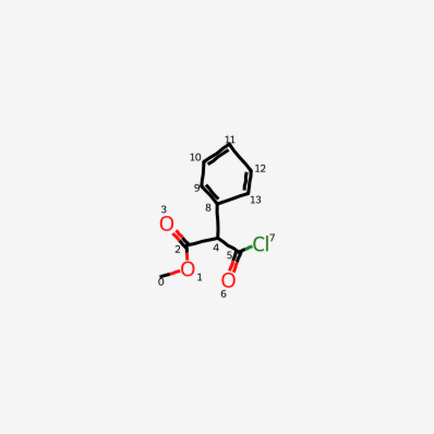 COC(=O)C(C(=O)Cl)c1ccccc1